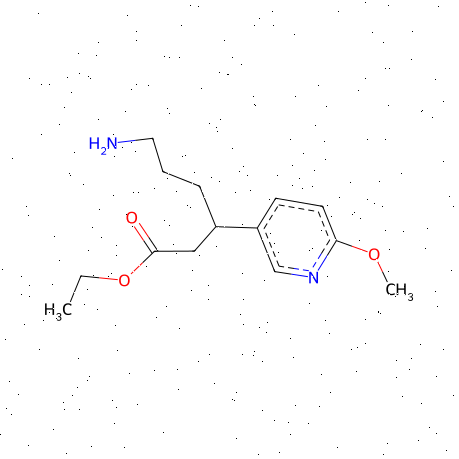 CCOC(=O)CC(CCCN)c1ccc(OC)nc1